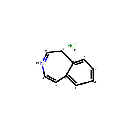 C1=Cc2ccccc2CC=N1.Cl